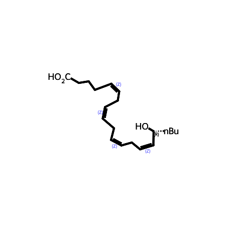 CCCC[C@@H](O)/C=C\C/C=C\C/C=C\C/C=C\CCCC(=O)O